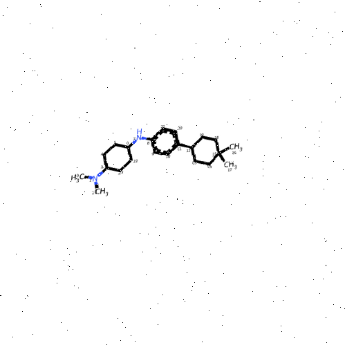 CN(C)C1CCC(Nc2ccc(C3CCC(C)(C)CC3)cc2)CC1